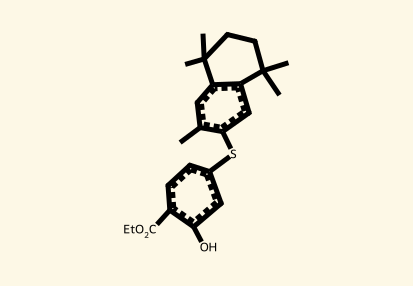 CCOC(=O)c1ccc(Sc2cc3c(cc2C)C(C)(C)CCC3(C)C)cc1O